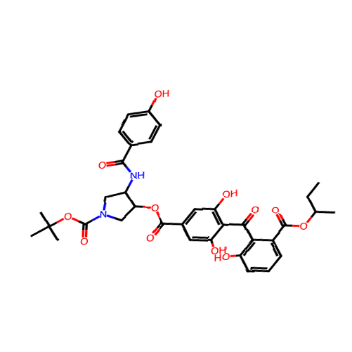 CCC(C)OC(=O)c1cccc(O)c1C(=O)c1c(O)cc(C(=O)OC2CN(C(=O)OC(C)(C)C)CC2NC(=O)c2ccc(O)cc2)cc1O